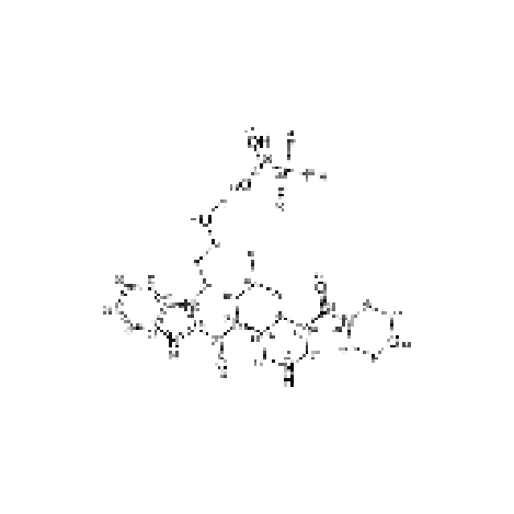 COCCCn1c(C(=O)N(CC(C)C)[C@@H]2CNC[C@H](C(=O)N3CCOCC3)C2)nc2ccccc21.O=C(O)C(F)(F)F